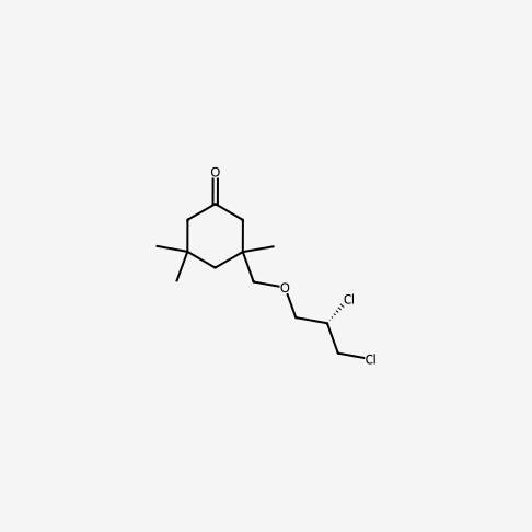 CC1(C)CC(=O)CC(C)(COC[C@H](Cl)CCl)C1